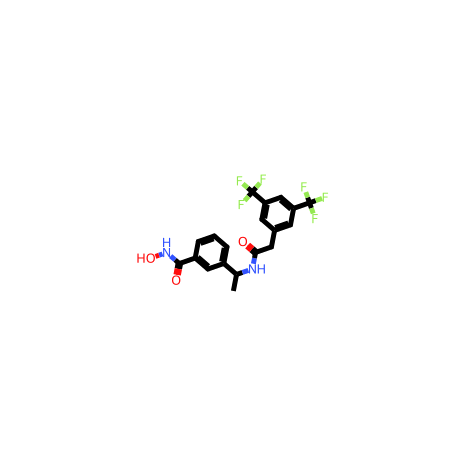 CC(NC(=O)Cc1cc(C(F)(F)F)cc(C(F)(F)F)c1)c1cccc(C(=O)NO)c1